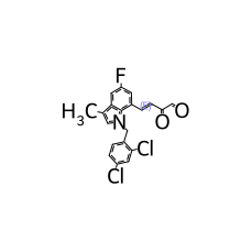 Cc1cn(Cc2ccc(Cl)cc2Cl)c2c(/C=C/C(=O)C=O)cc(F)cc12